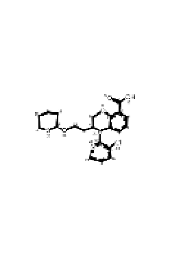 O=C(O)c1cccc2c1OCC(CCO[C@@H]1CCCCO1)N2c1ncccc1Cl